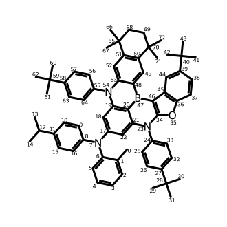 Cc1ccccc1N(c1ccc(C(C)C)cc1)c1cc2c3c(c1)N(c1ccc(C(C)(C)C)cc1)c1oc4ccc(C(C)(C)C)cc4c1B3c1cc3c(cc1N2c1ccc(C(C)(C)C)cc1)C(C)(C)CCC3(C)C